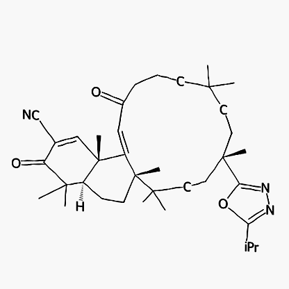 CC(C)c1nnc([C@@]2(C)CCC(C)(C)CCCC(=O)/C=C3/[C@@]4(C)C=C(C#N)C(=O)C(C)(C)[C@@H]4CC[C@@]3(C)C(C)(C)CC2)o1